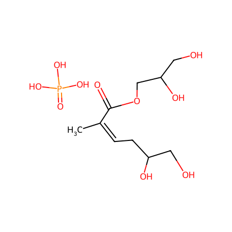 CC(=CCC(O)CO)C(=O)OCC(O)CO.O=P(O)(O)O